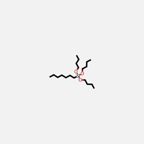 CCCCCCC[Si](OCCCC)(OCCCC)OCCCC